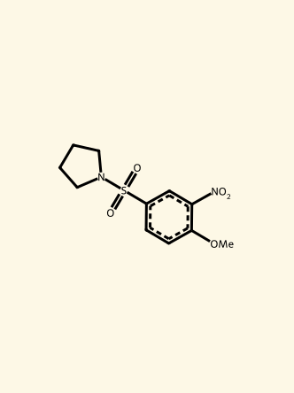 COc1ccc(S(=O)(=O)N2CCCC2)cc1[N+](=O)[O-]